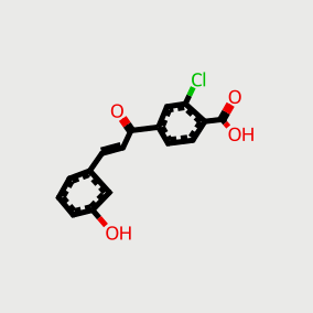 O=C(C=Cc1cccc(O)c1)c1ccc(C(=O)O)c(Cl)c1